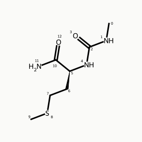 CNC(=O)N[C@@H](CCSC)C(N)=O